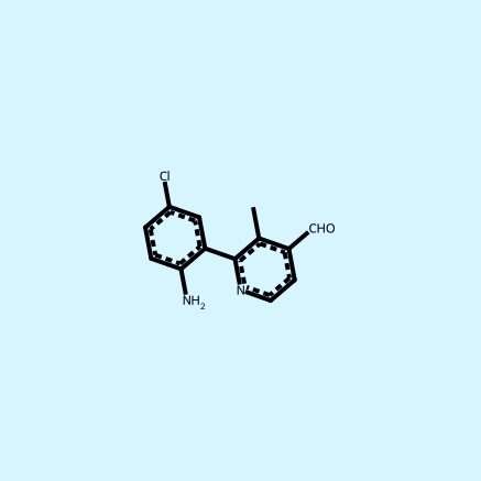 Cc1c(C=O)ccnc1-c1cc(Cl)ccc1N